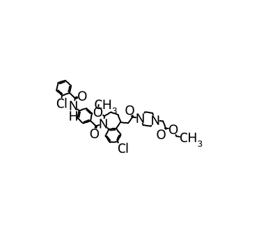 CCOC(=O)CN1CCN(C(=O)CC2CCC(OC)N(C(=O)c3ccc(NC(=O)c4ccccc4Cl)cc3)c3ccc(Cl)cc32)CC1